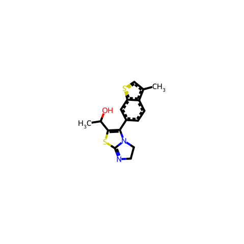 Cc1csc2cc(C3=C(C(C)O)SC4=NCCN43)ccc12